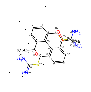 COC(=O)c1cccc(CSC(=N)N)c1-c1c(CSC(=N)N)cccc1C(=O)OC